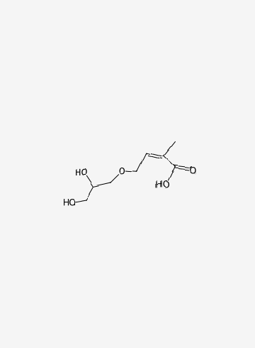 CC(=CCOCC(O)CO)C(=O)O